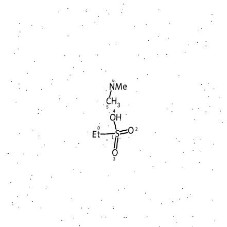 CCS(=O)(=O)O.CNC